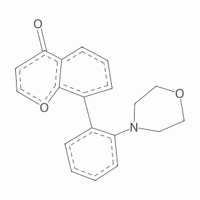 O=c1ccoc2c(-c3ccccc3N3CCOCC3)cccc12